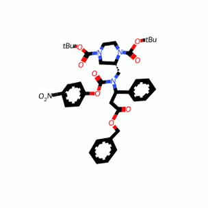 CC(C)(C)OC(=O)N1CCN(C(=O)OC(C)(C)C)[C@H](CN(C(=O)Oc2ccc([N+](=O)[O-])cc2)C(CC(=O)OCc2ccccc2)c2ccccc2)C1